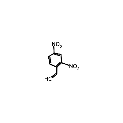 [CH]=Cc1ccc([N+](=O)[O-])cc1[N+](=O)[O-]